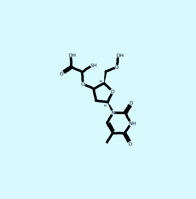 Cc1cn([C@H]2CC(OC(S)C(=O)O)[C@@H](COO)O2)c(=O)[nH]c1=O